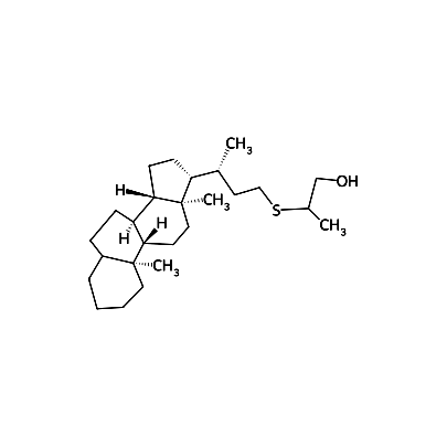 CC(CO)SCC[C@@H](C)[C@H]1CC[C@H]2[C@@H]3CCC4CCCC[C@]4(C)[C@H]3CC[C@]12C